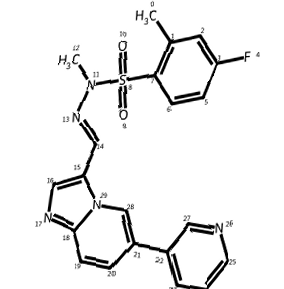 Cc1cc(F)ccc1S(=O)(=O)N(C)/N=C/c1cnc2ccc(-c3cccnc3)cn12